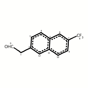 O=CCc1ccc2cc(C(F)(F)F)ccc2c1